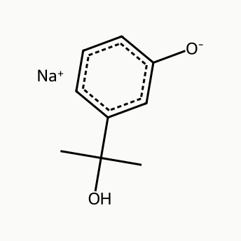 CC(C)(O)c1cccc([O-])c1.[Na+]